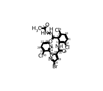 CC(=O)NNC(=O)c1c(Cl)ccc(Cl)c1NC(=O)c1cc(Br)nn1-c1ncccc1Cl